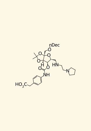 CCCCCCCCCCOC[C@@]12O[C@@H](CNCCN3CCCC3)[C@@H](OC(=O)Nc3ccc(CC(=O)O)cc3)[C@@H]1OC(C)(C)O2